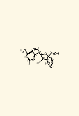 Cc1nc(N)c2ncn(C3OC(CO)(N=[N+]=[N-])C(O)C3F)c2n1